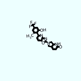 Cc1cc(C(F)(F)F)cc(O)c1-c1ccc2oc(N3Cc4ccc(=O)[nH]c4C3)nc2n1